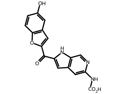 O=C(O)Nc1cc2cc(C(=O)c3cc4cc(O)ccc4o3)[nH]c2cn1